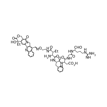 CCC(C(=O)NCCON=Cc1c2c(nc3ccccc13)-c1cc3c(c(=O)n1C2)COC(=O)[C@]3(O)CC)C(N)C(=O)NC(Cc1ccccc1)C(=O)NC(CC(=O)O)C(=O)NCC(=O)NC(C=O)CCCNC(=N)N